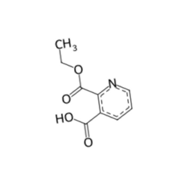 CCOC(=O)c1ncccc1C(=O)O